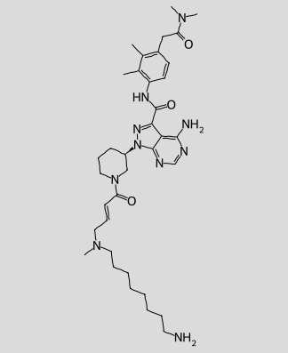 Cc1c(CC(=O)N(C)C)ccc(NC(=O)c2nn([C@@H]3CCCN(C(=O)/C=C/CN(C)CCCCCCCCN)C3)c3ncnc(N)c23)c1C